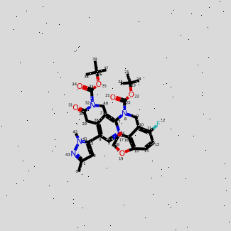 Cc1cc(-c2cnc(N(Cc3c(F)ccc4c3CCO4)C(=O)OC(C)(C)C)c3c2CC(=O)N(C(=O)OC(C)(C)C)C3)n(C)n1